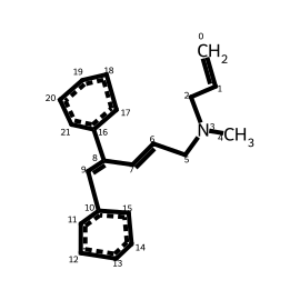 C=CCN(C)C/C=C/C(=C\c1ccccc1)c1ccccc1